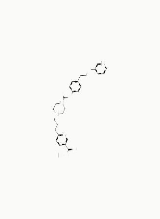 O=C(O)c1ccc(CCCN2CCN(C(=O)Oc3ccc(CCOc4cccnc4)cc3)CC2)nc1